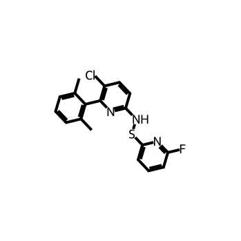 Cc1cccc(C)c1-c1nc(NSc2cccc(F)n2)ccc1Cl